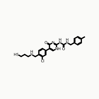 Cc1ccc(CNC(=O)Nc2nc(=O)c(-c3ccc(CNCCCS)c(Cl)c3)c[nH]2)cc1